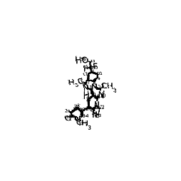 Cc1nc(N[C@H](C)c2cccc(C(F)(F)CO)c2)c2c(n1)N1CCN=C1C(c1ccc(=O)n(C)c1)=C2